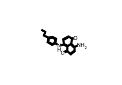 CCCc1ccc(NC2=C3C(=O)C=CC(N)=C3C(=O)C=C2)cc1